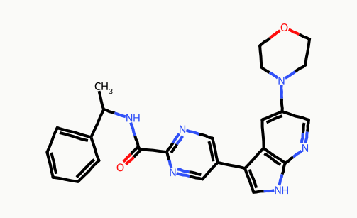 CC(NC(=O)c1ncc(-c2c[nH]c3ncc(N4CCOCC4)cc23)cn1)c1ccccc1